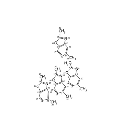 Cc1ccc2oc(C)nc2c1.Cc1ccc2oc(C)nc2c1.Cc1ccc2oc(C)nc2c1.Cc1ccc2oc(C)nc2c1